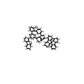 c1ccc(-c2nc(-c3cccc4c3oc3ccccc34)nc(-c3cccc4oc5ccc(-c6cccc(-c7cccc8c7-c7ccccc7C87c8ccccc8-c8ccccc87)c6)cc5c34)n2)cc1